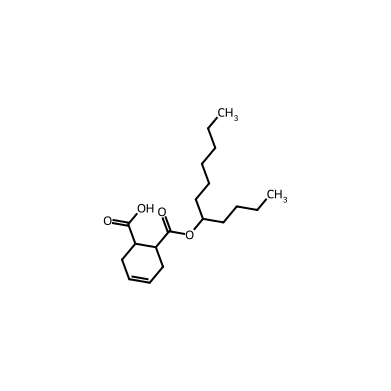 CCCCCCC(CCCC)OC(=O)C1CC=CCC1C(=O)O